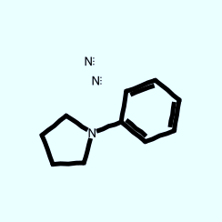 [N].[N].c1ccc(N2CCCC2)cc1